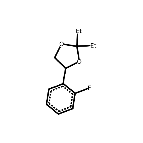 CCC1(CC)OCC(c2ccccc2F)O1